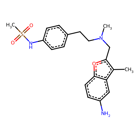 Cc1c(CN(C)CCc2ccc(NS(C)(=O)=O)cc2)oc2ccc(N)cc12